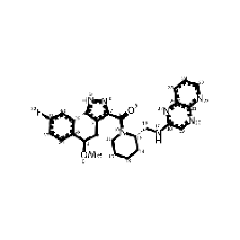 COC(Cc1c[nH]nc1C(=O)N1CCCC[C@H]1CNc1cnc2ncccc2n1)c1ccc(F)cc1